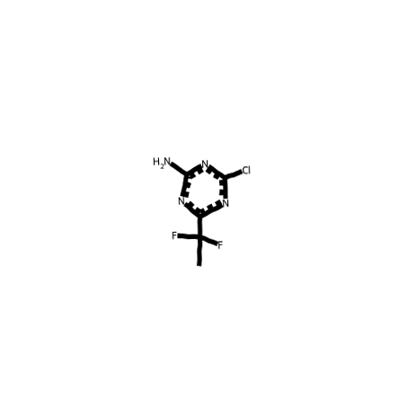 CC(F)(F)c1nc(N)nc(Cl)n1